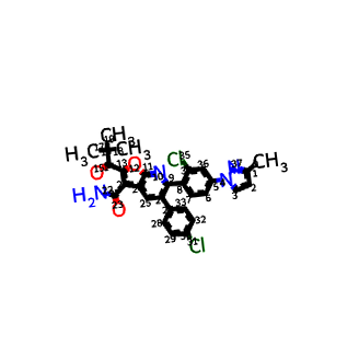 Cc1ccn(-c2ccc(-c3nc4oc(C(=O)C(C)(C)C)c(C(N)=O)c4cc3-c3ccc(Cl)cc3)c(Cl)c2)n1